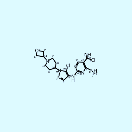 CCNc1nc(Nc2cnn(C3CCN(C4COC4)CC3)c2Cl)ncc1C(=N)Cl